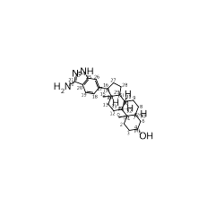 C[C@]12CC[C@@H](O)C[C@@H]1CC[C@@H]1[C@@H]2CC[C@]2(C)[C@@H](c3ccc4c(N)n[nH]c4c3)CC[C@@H]12